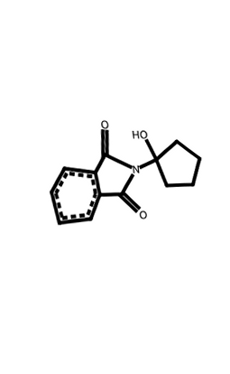 O=C1c2ccccc2C(=O)N1C1(O)CCCC1